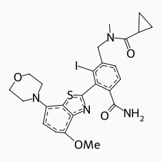 COc1ccc(N2CCOCC2)c2sc(-c3c(C(N)=O)ccc(CN(C)C(=O)C4CC4)c3I)nc12